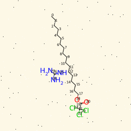 CCCCCCCCCCCCCCCCCCOC(=O)C(Cl)(Cl)Cl.N=C(N)N